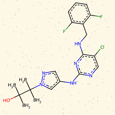 BC(B)(O)C(B)(B)n1cc(Nc2ncc(Cl)c(NCc3c(F)cccc3F)n2)cn1